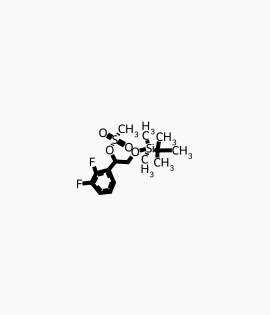 CC(C)(C)[Si](C)(C)OCC(OS(C)(=O)=O)c1cccc(F)c1F